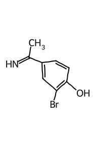 CC(=N)c1ccc(O)c(Br)c1